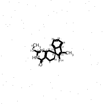 CSc1nc2c(c(=O)[nH]1)CC[C@]1(C2)C(F)=C(C)c2ccccc21